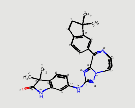 CC1(C)CCc2ccc(-c3nccn4nc(Nc5ccc6c(c5)NC(=O)C6(C)C)nc34)cc21